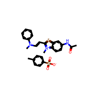 CC(=O)Nc1ccc2c(c1)sc(/C=C/N(C)c1ccccc1)[n+]2C.Cc1ccc(S(=O)(=O)[O-])cc1